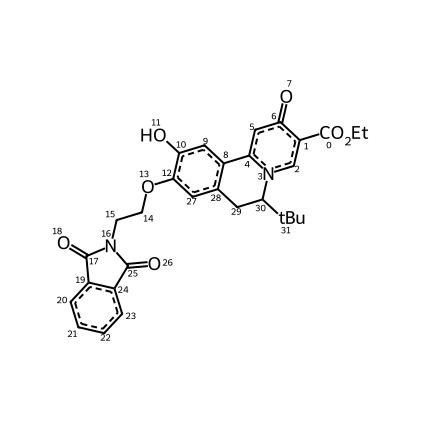 CCOC(=O)c1cn2c(cc1=O)-c1cc(O)c(OCCN3C(=O)c4ccccc4C3=O)cc1CC2C(C)(C)C